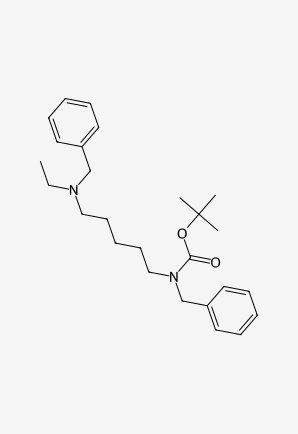 CCN(CCCCCN(Cc1ccccc1)C(=O)OC(C)(C)C)Cc1ccccc1